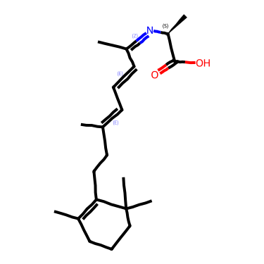 CC1=C(CC/C(C)=C/C=C/C(C)=N\[C@@H](C)C(=O)O)C(C)(C)CCC1